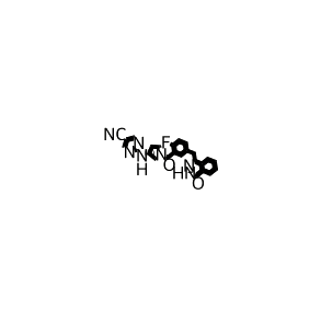 N#Cc1cnc(N[C@@H]2CCN(C(=O)c3cc(Cc4n[nH]c(=O)c5ccccc45)ccc3F)C2)nc1